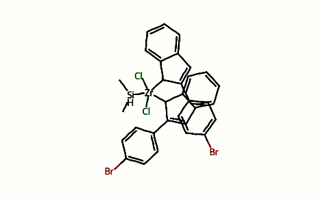 C[SiH](C)[Zr]([Cl])([Cl])([CH]1C(c2ccc(Br)cc2)=Cc2ccccc21)[CH]1C(c2ccc(Br)cc2)=Cc2ccccc21